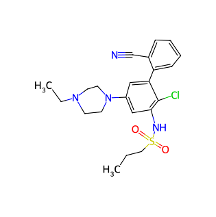 CCCS(=O)(=O)Nc1cc(N2CCN(CC)CC2)cc(-c2ccccc2C#N)c1Cl